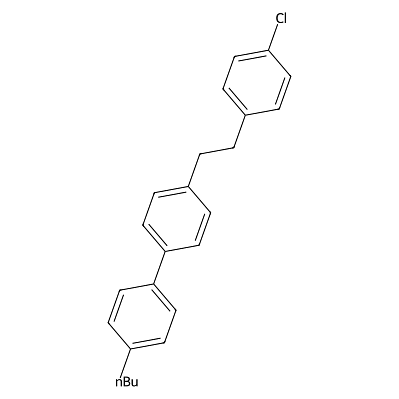 CCCCc1ccc(-c2ccc(CCc3ccc(Cl)cc3)cc2)cc1